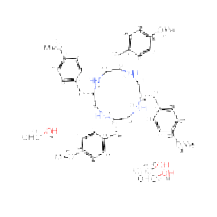 COc1ccc(C[C@H]2CN[C@@H](Cc3ccc(OC)cc3)CN[C@@H](Cc3ccc(OC)cc3)CN[C@@H](Cc3ccc(OC)cc3)CN2)cc1.O=CO.O=CO.O=CO